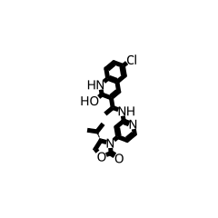 CC(Nc1cc(N2C(=O)OC[C@@H]2C(C)C)ccn1)C1=Cc2cc(Cl)ccc2NC1O